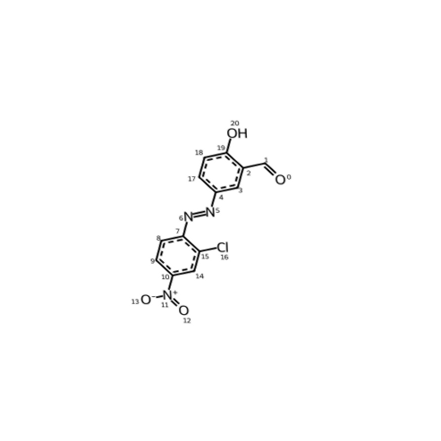 O=Cc1cc(N=Nc2ccc([N+](=O)[O-])cc2Cl)ccc1O